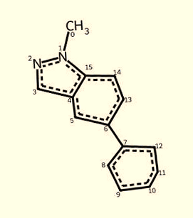 Cn1ncc2cc(-c3ccccc3)ccc21